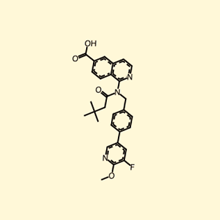 COc1ncc(-c2ccc(CN(C(=O)CC(C)(C)C)c3nccc4cc(C(=O)O)ccc34)cc2)cc1F